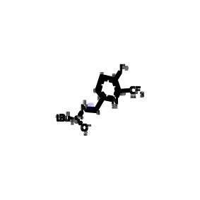 CC(C)(C)[S@@+]([O-])/N=C/c1ccc(F)c(C(F)(F)F)n1